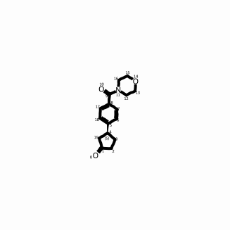 O=C1CC[C@H](c2ccc(C(=O)N3CCOCC3)cc2)C1